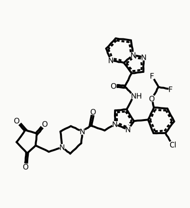 O=C1CC(=O)C(CN2CCN(C(=O)Cn3cc(NC(=O)c4cnn5cccnc45)c(-c4cc(Cl)ccc4OC(F)F)n3)CC2)C1=O